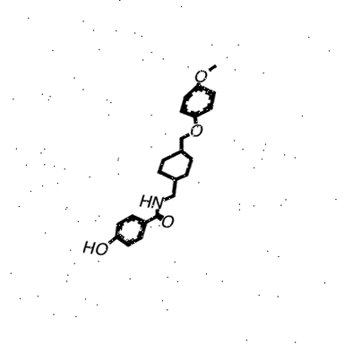 COc1ccc(OCC2CCC(CNC(=O)c3ccc(O)cc3)CC2)cc1